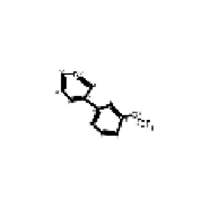 FC(F)(F)Oc1cccc(-c2[c]nccc2)c1